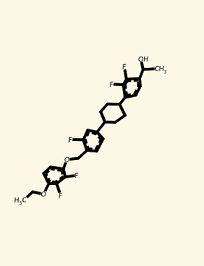 CCOc1ccc(OCc2ccc(C3CCC(c4ccc(C(C)O)c(F)c4F)CC3)cc2F)c(F)c1F